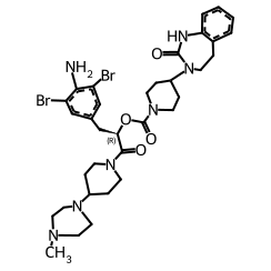 CN1CCN(C2CCN(C(=O)[C@@H](Cc3cc(Br)c(N)c(Br)c3)OC(=O)N3CCC(N4CCc5ccccc5NC4=O)CC3)CC2)CC1